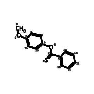 COc1ccc(OC(=S)c2ccccc2)cc1